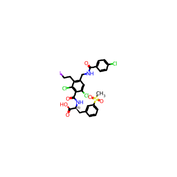 CS(=O)(=O)c1cccc(C[C@H](NC(=O)c2c(Cl)cc(CNC(=O)c3ccc(Cl)cc3)c(CCI)c2Cl)C(=O)O)c1